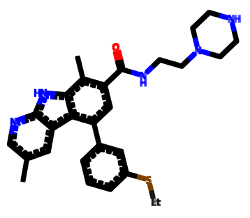 CCSc1cccc(-c2cc(C(=O)NCCN3CCNCC3)c(C)c3[nH]c4ncc(C)cc4c23)c1